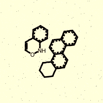 C1=Cc2ccccc2NO1.c1ccc2c(c1)ccc1c3c(ccc12)CCCC3